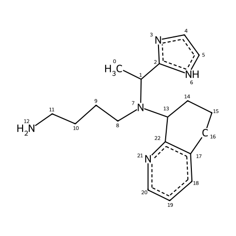 CC(c1ncc[nH]1)N(CCCCN)C1CCCc2cccnc21